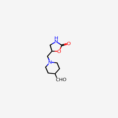 O=CC1CCN(CC2CNC(=O)O2)CC1